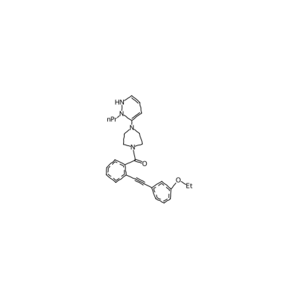 CCCN1NC=CC=C1N1CCN(C(=O)c2ccccc2C#Cc2cccc(OCC)c2)CC1